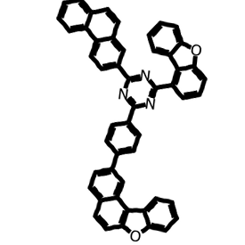 c1ccc2c(c1)ccc1cc(-c3nc(-c4ccc(-c5ccc6ccc7oc8ccccc8c7c6c5)cc4)nc(-c4cccc5oc6ccccc6c45)n3)ccc12